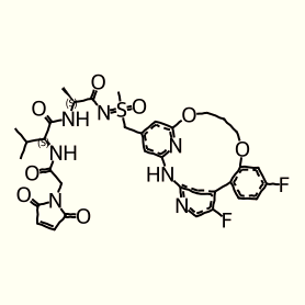 CC(C)[C@H](NC(=O)CN1C(=O)C=CC1=O)C(=O)N[C@@H](C)C(=O)N=S(C)(=O)Cc1cc2nc(c1)OCCCOc1cc(F)ccc1-c1cc(ncc1F)N2